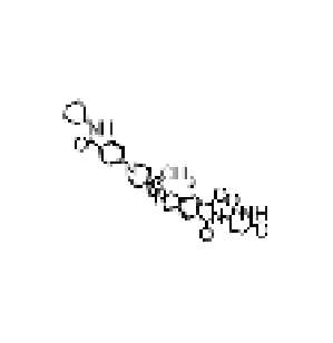 COC1(CN2Cc3cc4c(cc3C2)C(=O)N(C2CCC(=O)NC2=O)C4=O)CCN(c2ccc(C(=O)NC3CCCCC3)cc2)CC1